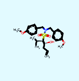 C=CC[C@H](O)[C@@H](C(C)C)S(=O)(=O)N(Cc1ccc(OC)cc1)Cc1ccc(OC)cc1